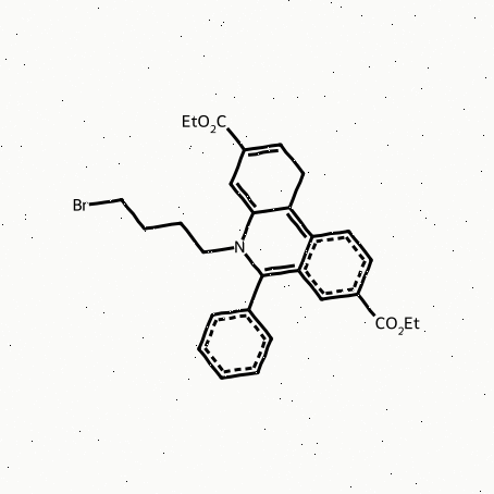 CCOC(=O)C1=CCC2=c3ccc(C(=O)OCC)cc3=C(c3ccccc3)N(CCCCBr)C2=C1